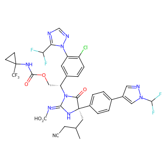 CC(CC#N)C[C@]1(c2ccc(-c3cnn(C(F)F)c3)cc2)N/C(=N\C(=O)O)N([C@H](COC(=O)NC2(C(F)(F)F)CC2)c2ccc(Cl)c(-n3ncnc3C(F)F)c2)C1=O